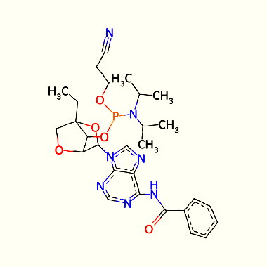 CCC12COC(C(n3cnc4c(NC(=O)c5ccccc5)ncnc43)O1)C2OP(OCCC#N)N(C(C)C)C(C)C